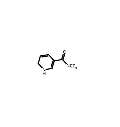 O=C(NC(F)(F)F)C1=CNCC=C1